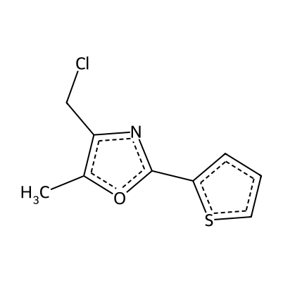 Cc1oc(-c2cccs2)nc1CCl